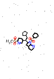 CS(=O)(=O)c1ccc(C(=CC2CCCC2)c2cc3cccnc3n2S(=O)(=O)c2ccccc2)cn1